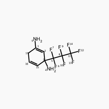 NC1=CC(N)(C(F)(F)C(F)(F)C(F)(F)F)C=CC1